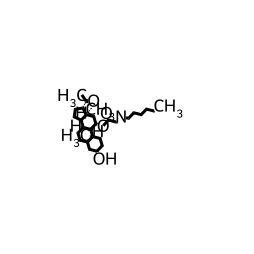 CCCCCCN=CC(=O)OC1C[C@]2(C)[C@@H](C(C)=O)CC[C@H]2[C@@H]2CCC3CC(O)CC[C@]3(C)[C@@H]12